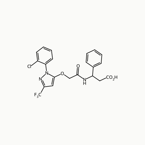 O=C(O)CC(NC(=O)COc1cc(C(F)(F)F)nn1-c1ccccc1Cl)c1ccccc1